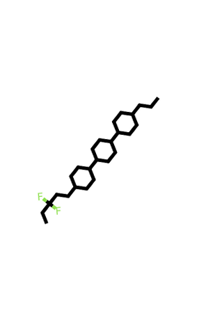 CCCC1CCC(C2CCC(C3CCC(CCC(F)(F)CC)CC3)CC2)CC1